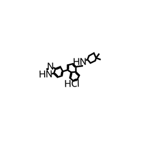 CC1(C)CCC(NCc2ccc(-c3ccc4[nH]cnc4c3)c3ccccc23)CC1.Cl